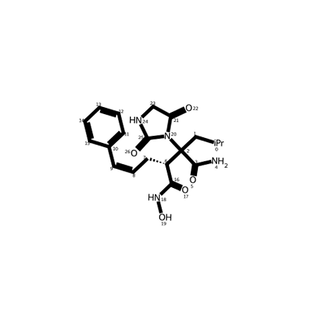 CC(C)CC(C(N)=O)([C@@H](C/C=C\c1ccccc1)C(=O)NO)N1C(=O)CNC1=O